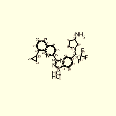 Cl.Cl.NC1CCN([C@@H](c2ccc3nnc(-c4ccc5cccc(C6CC6)c5n4)n3c2)C(F)(F)F)C1